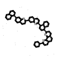 c1ccc(-c2ccc3ccc4ccc(-c5ccc(-c6ccc7ccc(-c8ccc9ccc(-c%10cccc%11ccccc%10%11)cc9n8)cc7n6)c6ccccc56)nc4c3n2)cc1